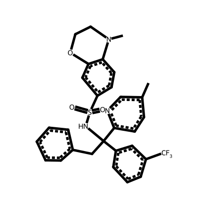 Cc1ccc(C(Cc2ccccc2)(NS(=O)(=O)c2ccc3c(c2)OCCN3C)c2cccc(C(F)(F)F)c2)nc1